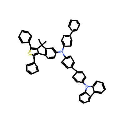 CC1(C)c2cc(N(c3ccc(-c4ccccc4)cc3)c3ccc(-c4ccc(-n5c6ccccc6c6ccccc65)cc4)cc3)ccc2-c2c(-c3ccccc3)sc(-c3ccccc3)c21